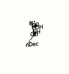 CCCCCCCCCCCCCCCCS(=O)(=O)NCCCC(C[N+](C)(C)C)OP(=O)([O-])O